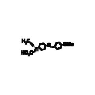 CC#C[C@@H](CC(=O)O)c1ccc(OCc2ccc(OC)cc2)cc1